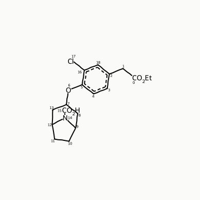 CCOC(=O)Cc1ccc(OC2CC3CCC(C2)N3C(=O)O)c(Cl)c1